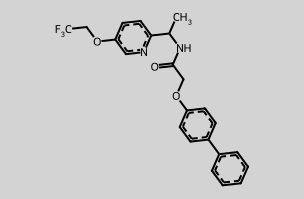 CC(NC(=O)COc1ccc(-c2ccccc2)cc1)c1ccc(OCC(F)(F)F)cn1